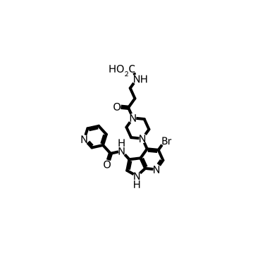 O=C(O)NCCC(=O)N1CCN(c2c(Br)cnc3[nH]cc(NC(=O)c4cccnc4)c23)CC1